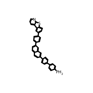 Pc1ccc(-c2ccc(-c3ccc4ccc(-c5ccc(-c6ccc7sc8ncccc8c7c6)cc5)cc4c3)cc2)cc1